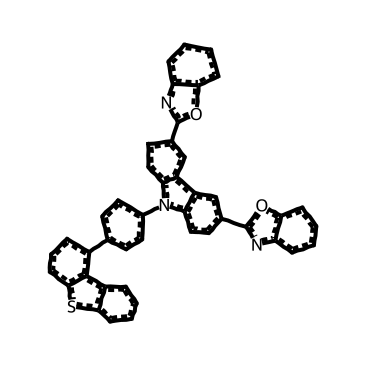 c1ccc2oc(-c3ccc4c(c3)c3cc(-c5nc6ccccc6o5)ccc3n4-c3ccc(-c4cccc5sc6ccccc6c45)cc3)nc2c1